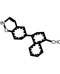 O=Cc1ccc(-c2ccc3c(c2)C=CNO3)c2ccccc12